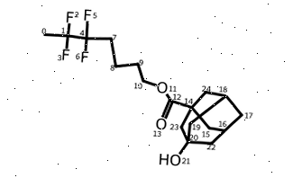 CC(F)(F)C(F)(F)CCCCOC(=O)C12CC3CC(CC(O)(C3)C1)C2